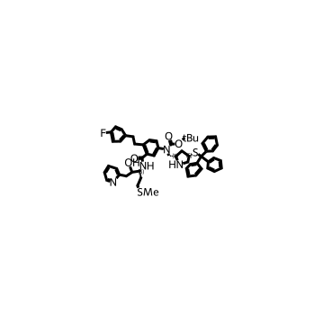 CSCC[C@H](NC(=O)c1cc(N(C[C@@H]2C[C@H](SC(c3ccccc3)(c3ccccc3)c3ccccc3)CN2)C(=O)OC(C)(C)C)ccc1CCc1ccc(F)cc1)C(O)Cc1ccccn1